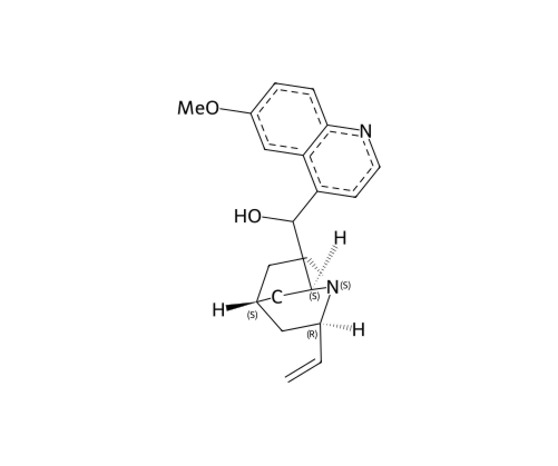 C=C[C@H]1C[C@@H]2CC[N@@]1[C@H](C(O)c1ccnc3ccc(OC)cc13)C2